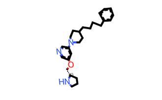 c1ccc(CCCCC2CCN(c3cncc(OC[C@@H]4CCCN4)c3)CC2)cc1